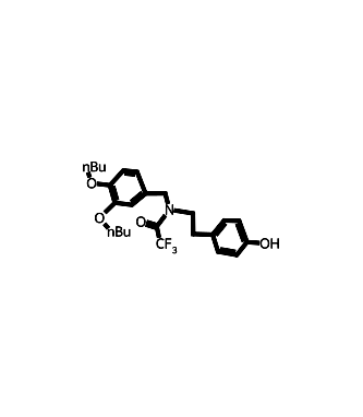 CCCCOc1ccc(CN(CCc2ccc(O)cc2)C(=O)C(F)(F)F)cc1OCCCC